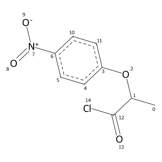 CC(Oc1ccc([N+](=O)[O-])cc1)C(=O)Cl